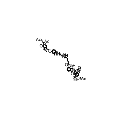 CCOc1cc([C@@H](CS(C)(=O)=O)N2C(=O)c3c(NC(=O)CCCc4cn(CCNCc5ccc(OCc6scc7c6CN(C(CCC(C)=O)C(C)=O)C7=O)cc5)nn4)cccc3C2O)ccc1OC